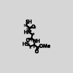 COC(=O)C(CS)NC(=O)CNC(=O)CS